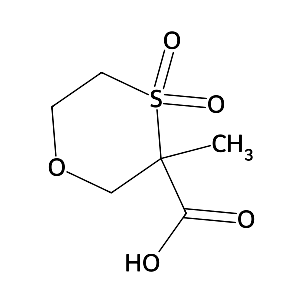 CC1(C(=O)O)COCCS1(=O)=O